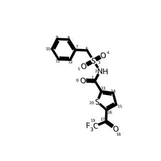 O=C(NS(=O)(=O)Cc1ccccc1)c1ccc(C(=O)C(F)(F)F)s1